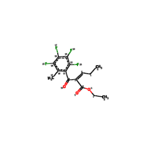 CCC=C(C(=O)OCC)C(=O)c1c(C)c(F)c(F)c(F)c1F